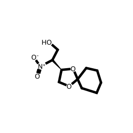 O=[N+]([O-])C(CO)[C@@H]1COC2(CCCCC2)O1